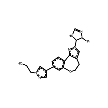 CC(C)N1N=CNC1n1cc2c(n1)-c1ccc(-c3cnn(CCO)c3)cc1OCC2